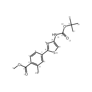 COC(=O)c1ccc(-c2nc(NC(=O)OC(C)(C)C)cs2)cc1F